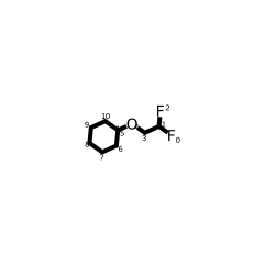 FC(F)CO[C]1CCCCC1